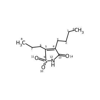 CCCCC1=C(CCC)S(=O)(=O)NC1=O